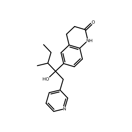 CCC(C)C(O)(Cc1cccnc1)c1ccc2c(c1)CCC(=O)N2